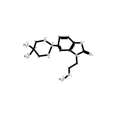 COCCn1c(=O)oc2ccc(B3OCC(C)(C)CO3)cc21